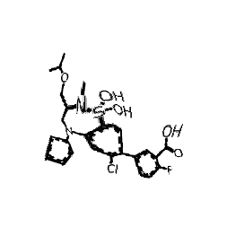 CC(C)OCC1CN(c2ccccc2)c2cc(Cl)c(-c3ccc(F)c(C(=O)O)c3)cc2S(O)(O)N1C